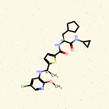 COc1ncc(Cl)cc1N[C@H](C)c1ccc(C(=O)N[C@@H](CC2CCCC2)C(=O)NC2CC2)s1